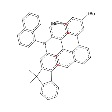 CC(C)(C)c1cc(-c2cccc3cccc(-c4ccccc4N(c4ccc5c(c4)C(C)(C)c4ccccc4-5)c4cccc5ccccc45)c23)cc(C(C)(C)C)c1